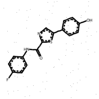 O=C(Nc1ccc(F)cc1)c1ncc(-c2ccc(O)cc2)s1